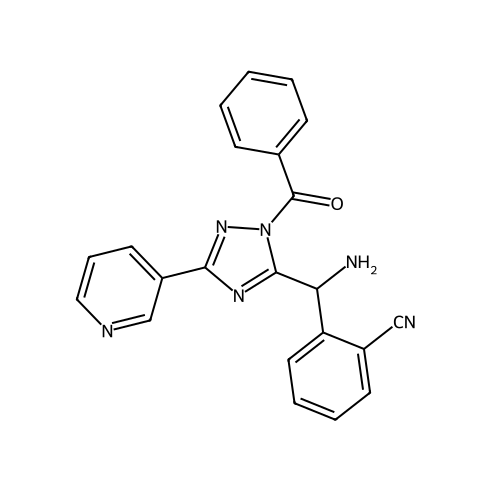 N#Cc1ccccc1C(N)c1nc(-c2cccnc2)nn1C(=O)c1ccccc1